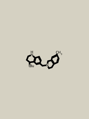 Cc1ccc2c(c1)CN(Cc1ccc3c(c1)C(C(C)(C)C)CCN3)CC2